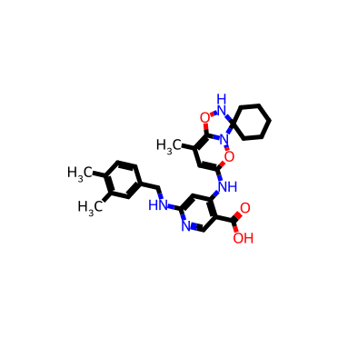 CC1=C2ONC3(CCCCC3)N2OC(Nc2cc(NCc3ccc(C)c(C)c3)ncc2C(=O)O)=C1